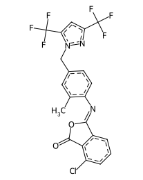 Cc1cc(Cn2nc(C(F)(F)F)cc2C(F)(F)F)ccc1N=C1OC(=O)c2c(Cl)cccc21